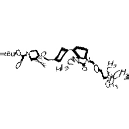 Cn1c(=O)n(COCC[Si](C)(C)C)c2cccc([C@H]3C[C@H](CO[C@H]4CCN(C(=O)OC(C)(C)C)C[C@@H]4F)C3)c21